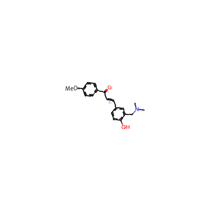 COc1ccc(C(=O)/C=C/c2ccc(O)c(CN(C)C)c2)cc1